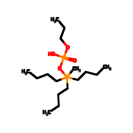 CCCCP(C)(CCCC)(CCCC)OP(=O)(O)OCCC